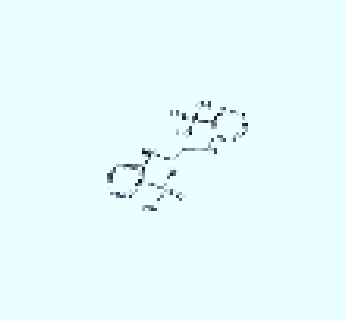 O=P(O)(O)c1ccccc1NCCNc1ccccc1P(=O)(O)O